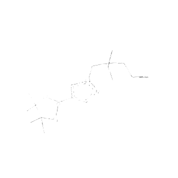 C[CH]CC(C)(C)Cn1cc(B2OC(C)(C)C(C)(C)O2)cn1